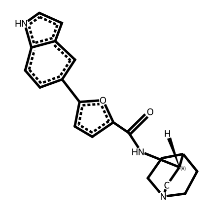 O=C(N[C@H]1CN2CCC1CC2)c1ccc(-c2ccc3[nH]ccc3c2)o1